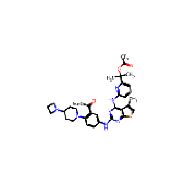 COC(=O)c1cc(Nc2nc(Nc3cccc(C(C)(C)OC(=O)C(F)(F)F)n3)c3c(C)csc3n2)ccc1N1CCC(N2CCC2)CC1